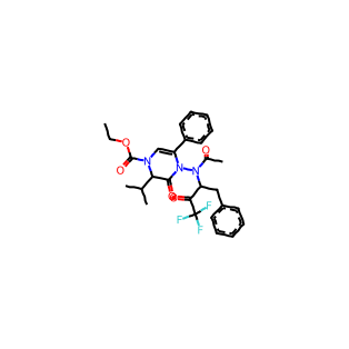 CCOC(=O)N1C=C(c2ccccc2)N(N(C(C)=O)C(Cc2ccccc2)C(=O)C(F)(F)F)C(=O)C1C(C)C